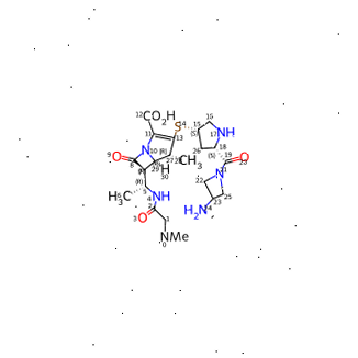 CNCC(=O)N[C@H](C)[C@H]1C(=O)N2C(C(=O)O)=C(S[C@@H]3CN[C@H](C(=O)N4CC(N)C4)C3)[C@H](C)[C@@H]12